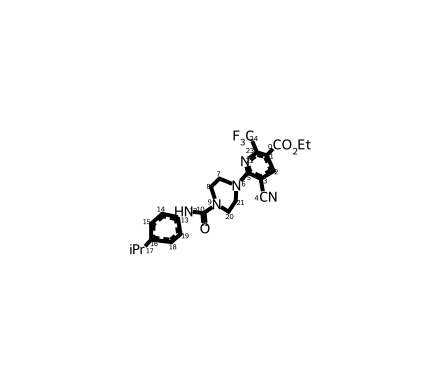 CCOC(=O)c1cc(C#N)c(N2CCN(C(=O)Nc3ccc(C(C)C)cc3)CC2)nc1C(F)(F)F